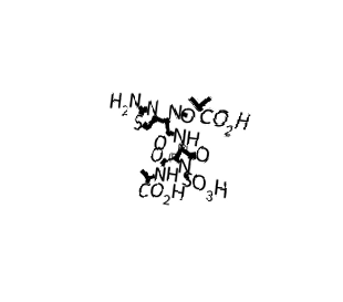 CC(NC(=O)[C@H]1[C@@H](NC(=O)C(=NOC(C)(C)C(=O)O)c2csc(N)n2)C(=O)N1S(=O)(=O)O)C(=O)O